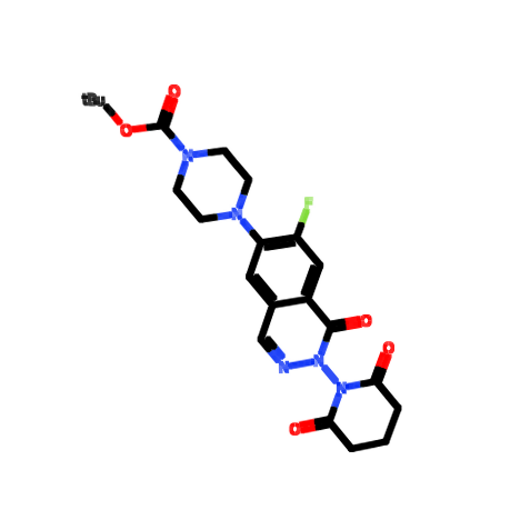 CC(C)(C)OC(=O)N1CCN(c2cc3cnn(N4C(=O)CCCC4=O)c(=O)c3cc2F)CC1